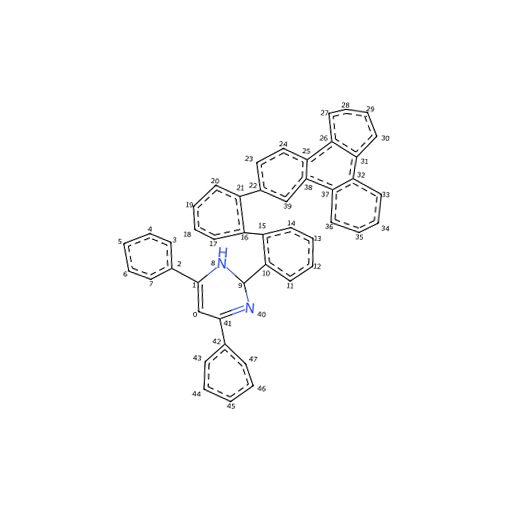 C1=C(c2ccccc2)NC(c2ccccc2-c2ccccc2-c2ccc3c4ccccc4c4ccccc4c3c2)N=C1c1ccccc1